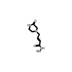 CC(C)(C)NC(=O)/C=C/CN1CCNC(=O)C1